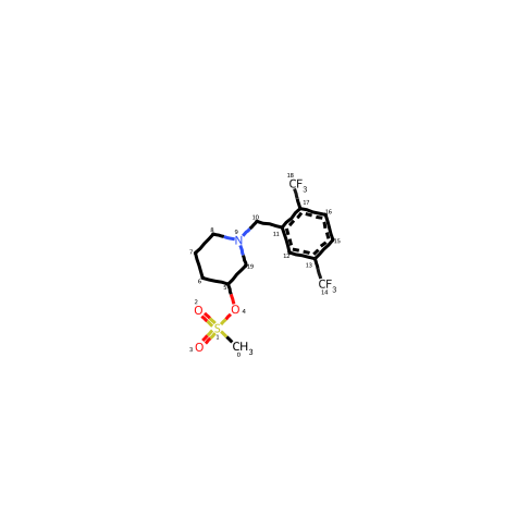 CS(=O)(=O)OC1CCCN(Cc2cc(C(F)(F)F)ccc2C(F)(F)F)C1